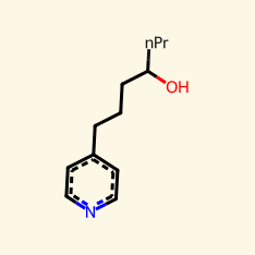 CCCC(O)CCCc1ccncc1